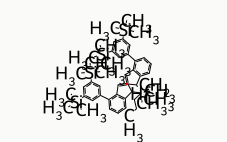 [CH2]=[Hf]([CH3])([CH3])([CH3])([CH2]CC)([CH]1C=Cc2c(-c3cc([Si](C)(C)C)cc([Si](C)(C)C)c3)cccc21)[CH]1C=Cc2c(-c3cc([Si](C)(C)C)cc([Si](C)(C)C)c3)cccc21